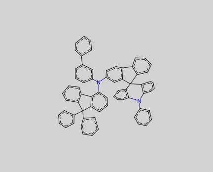 c1ccc(-c2cccc(N(c3ccc4c(c3)C3(c5ccccc5-4)c4ccccc4N(c4ccccc4)c4ccccc43)c3cccc4c3-c3ccccc3C4(c3ccccc3)c3ccccc3)c2)cc1